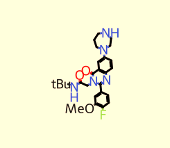 COc1cc(-c2nc3ccc(N4CCCNCC4)cc3c(=O)n2CC(=O)NC(C)(C)C)ccc1F